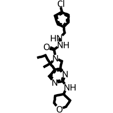 CCC1(C)c2cnc(NC3CCOCC3)nc2CN1C(=O)NNCc1ccc(Cl)cc1